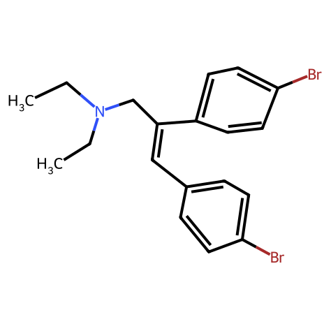 CCN(CC)C/C(=C/c1ccc(Br)cc1)c1ccc(Br)cc1